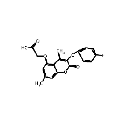 Cc1cc(OCC(=O)O)c2c(C)c(Cc3ccc(F)cc3)c(=O)oc2c1